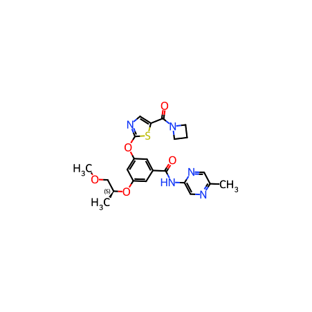 COC[C@H](C)Oc1cc(Oc2ncc(C(=O)N3CCC3)s2)cc(C(=O)Nc2cnc(C)cn2)c1